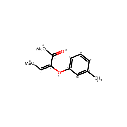 COC=C(Oc1cccc(C)c1)C(=O)OC